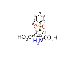 Cc1ccccc1S(=O)(=O)C1CC(N)(C(=O)O)C2C(C(=O)O)C21